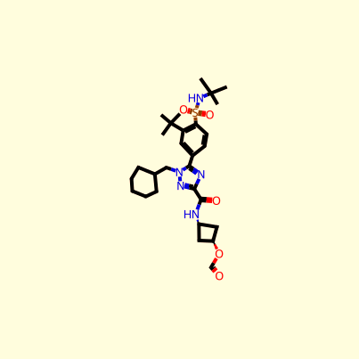 CC(C)(C)NS(=O)(=O)c1ccc(-c2nc(C(=O)N[C@H]3C[C@H](OC=O)C3)nn2CC2CCCCC2)cc1C(C)(C)C